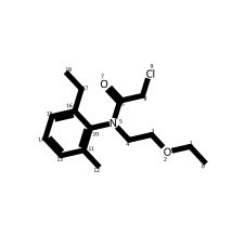 CCOCCN(C(=O)CCl)c1c(C)cccc1CC